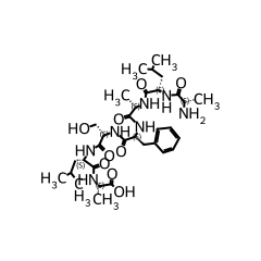 CC(C)C[C@H](NC(=O)[C@H](C)N)C(=O)N[C@@H](C)C(=O)N[C@@H](Cc1ccccc1)C(=O)N[C@@H](CO)C(=O)N[C@@H](CC(C)C)C(=O)N[C@@H](C)C(=O)O